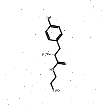 N[C@H](Cc1ccc(O)cc1)C(=O)NCC[C]=O